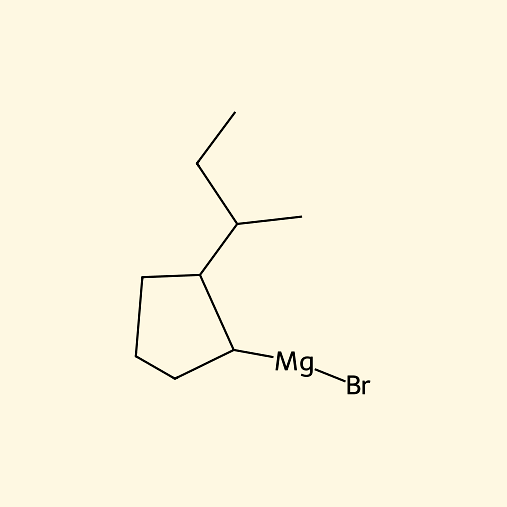 CCC(C)C1CCC[CH]1[Mg][Br]